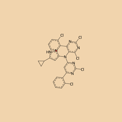 Clc1nc(-c2ccccc2Cl)cc(N(c2cc(C3CC3)[nH]n2)c2c(Cl)nc(Cl)nc2-c2ccccc2Cl)n1